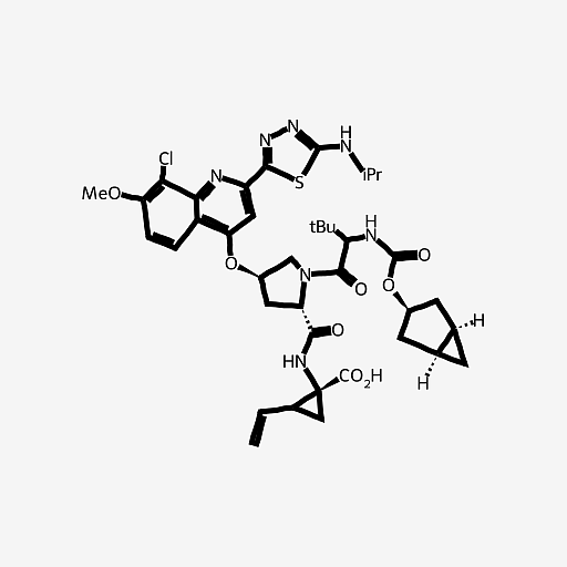 C=CC1C[C@]1(NC(=O)[C@@H]1C[C@@H](Oc2cc(-c3nnc(NC(C)C)s3)nc3c(Cl)c(OC)ccc23)CN1C(=O)C(NC(=O)O[C@@H]1C[C@@H]2C[C@@H]2C1)C(C)(C)C)C(=O)O